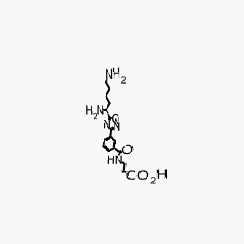 NCCCCC(N)c1nc(-c2cccc(C(=O)NCCC(=O)O)c2)no1